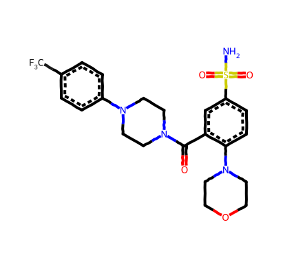 NS(=O)(=O)c1ccc(N2CCOCC2)c(C(=O)N2CCN(c3ccc(C(F)(F)F)cc3)CC2)c1